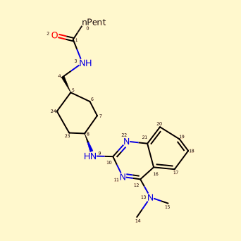 CCCCCC(=O)NC[C@H]1CC[C@@H](Nc2nc(N(C)C)c3ccccc3n2)CC1